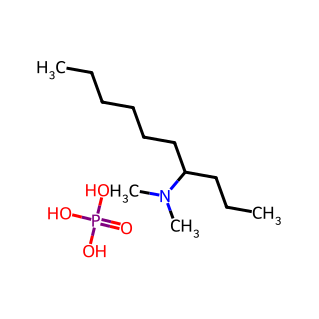 CCCCCCC(CCC)N(C)C.O=P(O)(O)O